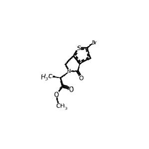 COC(=O)[C@@H](C)N1Cc2sc(Br)cc2C1=O